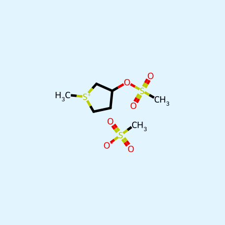 CS(=O)(=O)[O-].C[S+]1CCC(OS(C)(=O)=O)C1